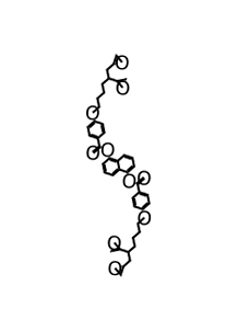 O=C(Oc1cccc2c(OC(=O)c3ccc(OCCCCC(CC4CO4)C4CO4)cc3)cccc12)c1ccc(OCCCCC(CC2CO2)C2CO2)cc1